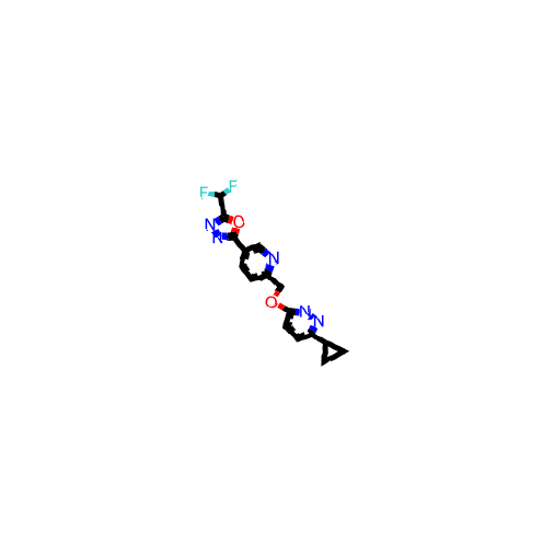 FC(F)c1nnc(-c2ccc(COc3ccc(C4CC4)nn3)nc2)o1